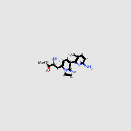 COC(=O)[C@@H](N)Cc1ccc(-c2nc(N)ccc2C(F)(F)F)c2nccn12